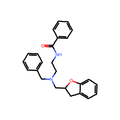 O=C(NCCN(Cc1ccccc1)CC1Cc2ccccc2O1)c1ccccc1